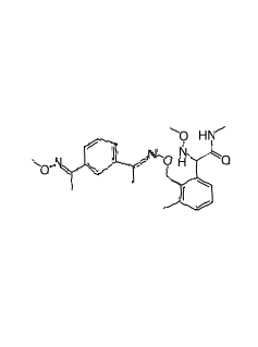 CNC(=O)C(NOC)c1cccc(C)c1CO/N=C(\C)c1cccc(/C(C)=N/OC)c1